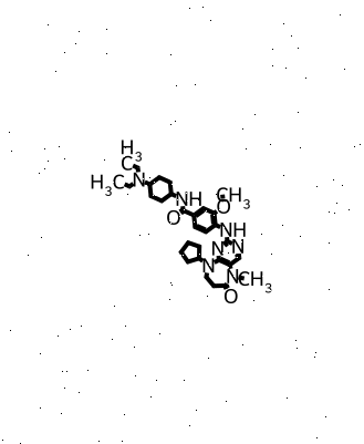 CCN(CC)C1CCC(NC(=O)c2ccc(Nc3ncc4c(n3)N(C3CCCC3)CCC(=O)N4C)c(OC)c2)CC1